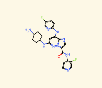 NC1CCC(Nc2cc(Nc3ccc(F)cn3)c3ncc(C(=O)Nc4ccncc4F)n3n2)CC1